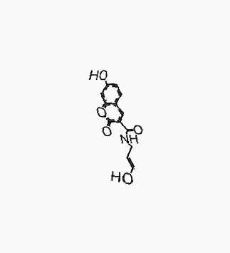 O=C(NCC=CO)c1cc2ccc(O)cc2oc1=O